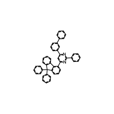 c1ccc(-c2cccc(-c3cc(-c4cccc5c4-c4ccccc4C5(c4ccccc4)c4ccccc4)nc(-c4ccccc4)n3)c2)cc1